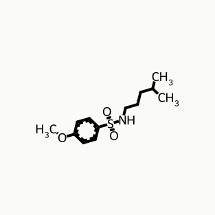 COc1ccc(S(=O)(=O)NCCCC(C)C)cc1